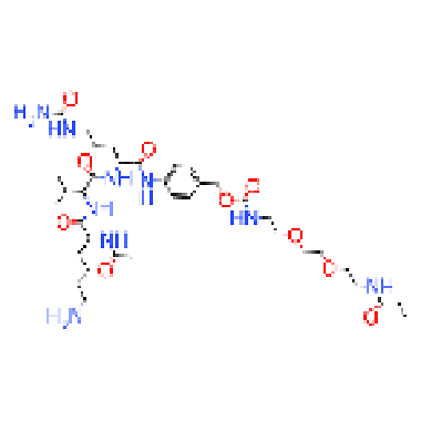 CCC(=O)NCCOCCOCCNC(=O)OCc1ccc(NC(=O)[C@H](CCCNC(N)=O)NC(=O)[C@@H](NC(=O)[C@H](CCCCN)NC(C)=O)C(C)C)cc1